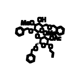 C=CCO[C@@H]1O[C@H](COCc2ccccc2)[C@@H](O[C@H]2O[C@H](COCc3ccccc3)[C@@H](O)[C@H](OC)[C@H]2OCc2ccccc2)[C@H](OC)[C@H]1OC(C)=O